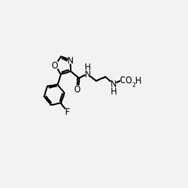 O=C(O)NCCNC(=O)c1ncoc1-c1cccc(F)c1